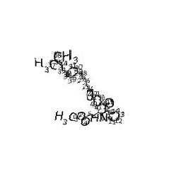 CCOC(=O)CCCc1[nH]c2ccccc2c1C(=O)c1ccc(OCCCCCc2ccc(CCC(C)C)cc2)cc1